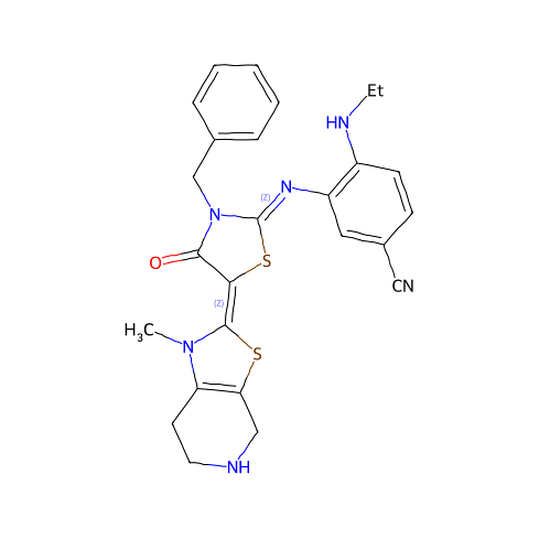 CCNc1ccc(C#N)cc1/N=C1\S/C(=C2\SC3=C(CCNC3)N2C)C(=O)N1Cc1ccccc1